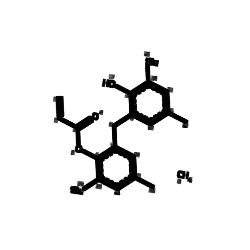 C.C=CC(=O)Oc1c(Cc2cc(C)cc(C(C)(C)C)c2O)cc(C)cc1C(C)(C)C